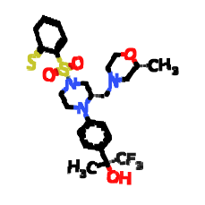 C[C@@H]1CN(C[C@H]2CN(S(=O)(=O)C3=CC=CCC3=S)CCN2c2ccc([C@](C)(O)C(F)(F)F)cc2)CCO1